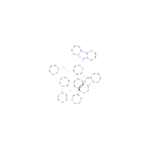 CN1c2ccccc2-c2cc3c(cc2C1c1cc(-n2c4ccccc4c4ccccc42)cc(-n2c4ccccc4c4ccccc42)c1)C1(c2ccccc2-c2ccccc21)c1ccccc1-3